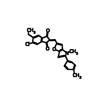 CCc1cc2c(cc1Cl)C(=O)/C(=C\c1cc3c(cc(-c4ccc(C)cc4)n3C)o1)C2=O